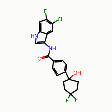 O=C(Nc1c[nH]c2cc(F)c(Cl)cc12)c1ccc(C2(O)CCC(F)(F)CC2)cc1